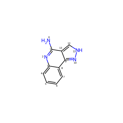 Nc1nc2ccccc2c2n[nH]cc12